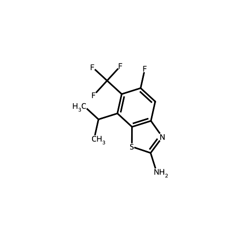 CC(C)c1c(C(F)(F)F)c(F)cc2nc(N)sc12